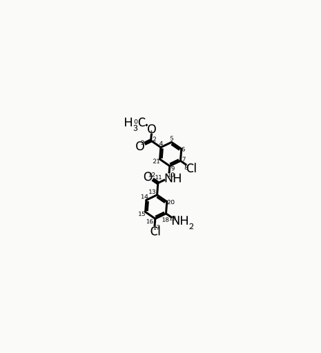 COC(=O)c1ccc(Cl)c(NC(=O)c2ccc(Cl)c(N)c2)c1